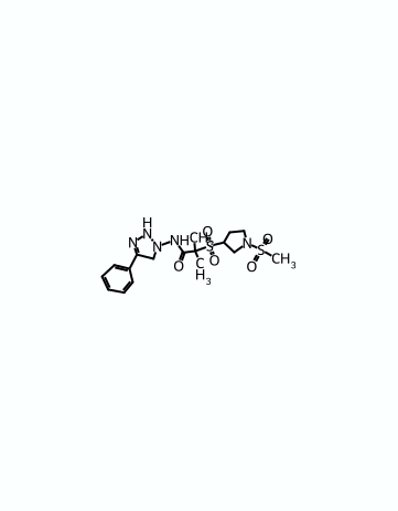 CC(C)(C(=O)NN1CC(c2ccccc2)=NN1)S(=O)(=O)C1CCN(S(C)(=O)=O)C1